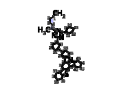 C=C/C=C\C=C(/C)c1nc(-c2ccccc2)nc(-c2cccc(-c3ccc4c(c3)c3cc5c6ccccc6sc5c5c6ccccc6n4c35)c2)n1